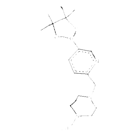 CC1(C)OB(c2ccc(CN3CCN(C=O)CC3)nc2)OC1(C)C